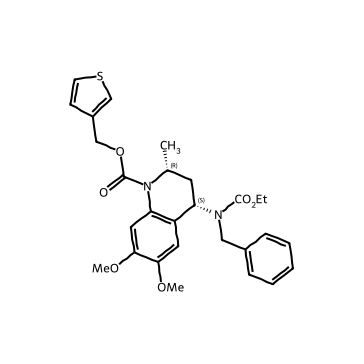 CCOC(=O)N(Cc1ccccc1)[C@H]1C[C@@H](C)N(C(=O)OCc2ccsc2)c2cc(OC)c(OC)cc21